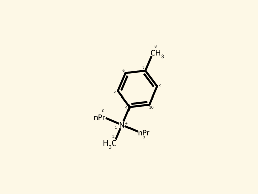 CCC[N+](C)(CCC)c1ccc(C)cc1